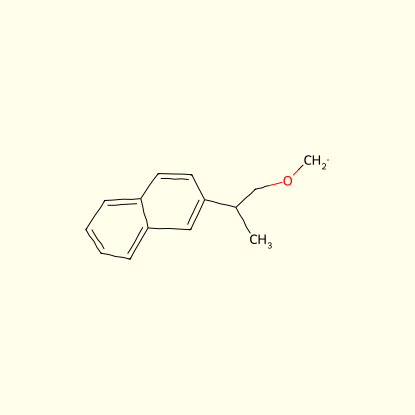 [CH2]OCC(C)c1ccc2ccccc2c1